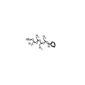 CCCCOC(C)OC(C)OC(C)OC(C)ONc1ccccc1